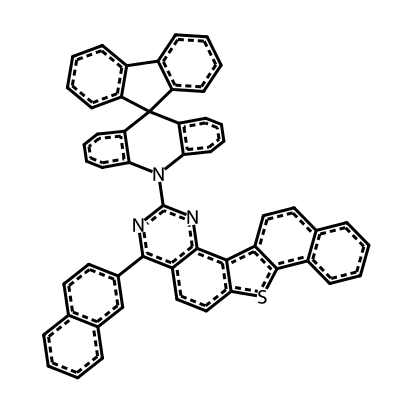 c1ccc2c(c1)-c1ccccc1C21c2ccccc2N(c2nc(-c3ccc4ccccc4c3)c3ccc4sc5c6ccccc6ccc5c4c3n2)c2ccccc21